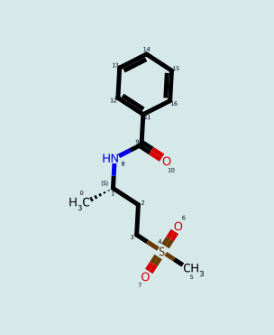 C[C@@H](CCS(C)(=O)=O)NC(=O)c1ccccc1